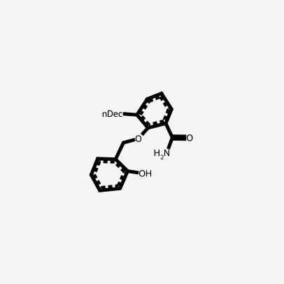 CCCCCCCCCCc1cccc(C(N)=O)c1OCc1ccccc1O